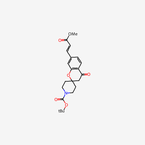 COC(=O)C=Cc1ccc2c(c1)OC1(CCN(C(=O)OC(C)(C)C)CC1)CC2=O